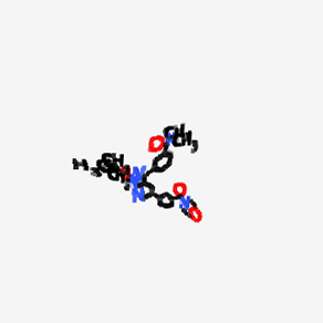 CN(C)C(=O)c1cccc(-c2nn(COCC[Si](C)(C)C)c3ncc(-c4cccc(C(=O)N5CCOCC5)c4)cc23)c1